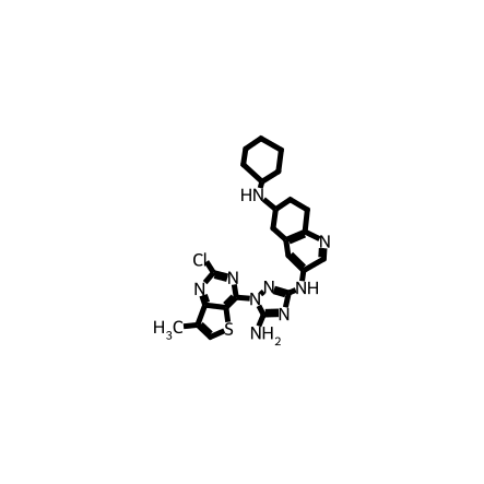 Cc1csc2c(-n3nc(Nc4cnc5c(c4)CC(NC4CCCCC4)CC5)nc3N)nc(Cl)nc12